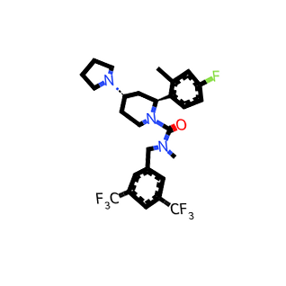 Cc1cc(F)ccc1[C@@H]1C[C@@H](N2CCCC2)CCN1C(=O)N(C)Cc1cc(C(F)(F)F)cc(C(F)(F)F)c1